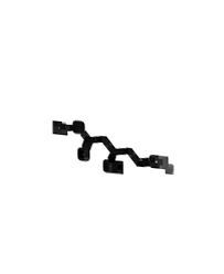 C=CC[C@@H](O)CC(=O)OCC